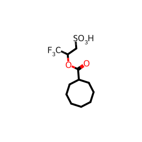 O=C(OC(CS(=O)(=O)O)C(F)(F)F)C1CCCCCCC1